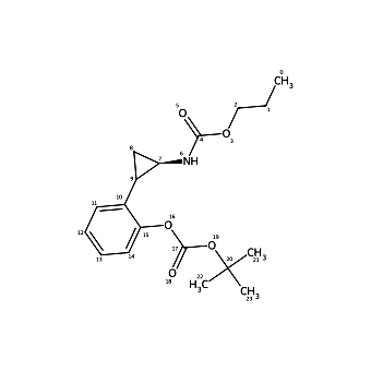 CCCOC(=O)N[C@@H]1CC1c1ccccc1OC(=O)OC(C)(C)C